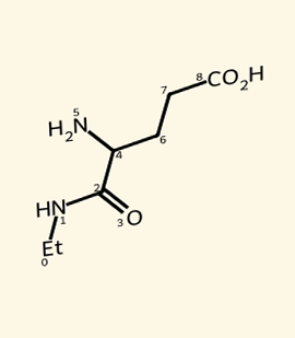 CCNC(=O)C(N)CCC(=O)O